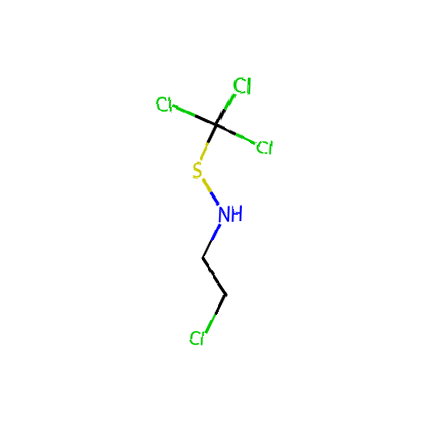 ClCCNSC(Cl)(Cl)Cl